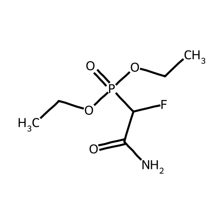 CCOP(=O)(OCC)C(F)C(N)=O